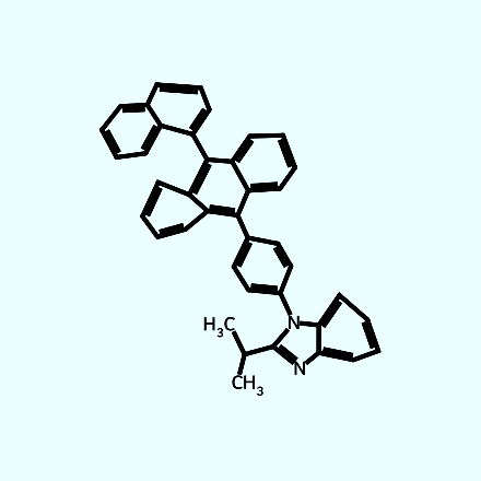 CC(C)c1nc2ccccc2n1-c1ccc(-c2c3ccccc3c(-c3cccc4ccccc34)c3ccccc23)cc1